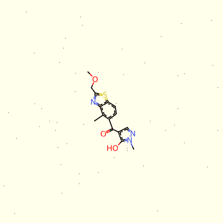 COCc1nc2c(C)c(C(=O)c3cnn(C)c3O)ccc2s1